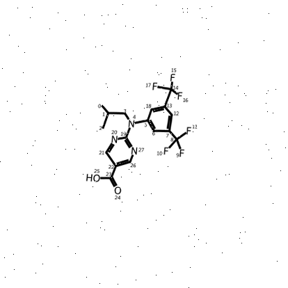 CC(C)CN(c1cc(C(F)(F)F)cc(C(F)(F)F)c1)c1ncc(C(=O)O)cn1